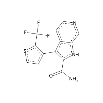 NC(=O)c1[nH]c2cnccc2c1-c1ccsc1C(F)(F)F